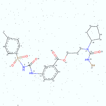 Cc1ccc(S(=O)(=O)NC(=O)Nc2cccc(C(=O)OCCCN(C(=O)NS)C3CCCCC3)c2)cc1